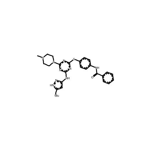 CN1CCN(c2nc(Nc3cc(C(C)(C)C)[nH]n3)nc(Sc3ccc(NC(=O)c4ccccc4)cc3)n2)CC1